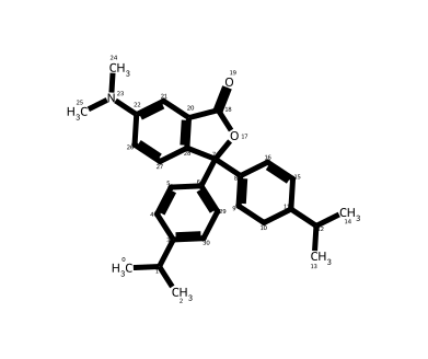 CC(C)c1ccc(C2(C3=CCC(C(C)C)C=C3)OC(=O)c3cc(N(C)C)ccc32)cc1